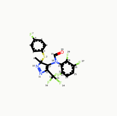 CC1(Sc2ccc(F)cc2)N=NC(C(F)(F)F)=C1N(C=O)c1c(F)ccc(F)c1F